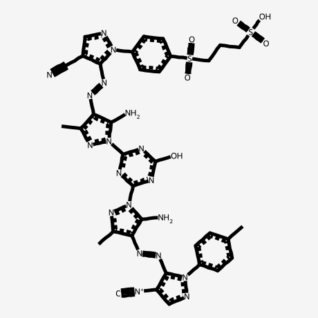 [C-]#[N+]c1cnn(-c2ccc(C)cc2)c1N=Nc1c(C)nn(-c2nc(O)nc(-n3nc(C)c(N=Nc4c(C#N)cnn4-c4ccc(S(=O)(=O)CCCS(=O)(=O)O)cc4)c3N)n2)c1N